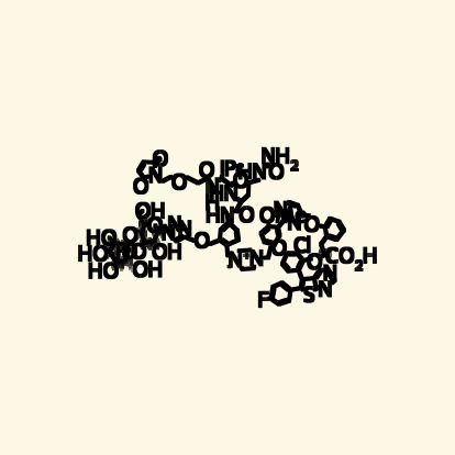 COc1ccccc1-c1nccc(COc2ccccc2C[C@@H](Oc2ncnc3sc(-c4ccc(F)cc4)c(-c4ccc(OCCN5CC[N+](C)(Cc6ccc(NC(=O)C(CCCNC(N)=O)NC(=O)C(NC(=O)CCOCCN7C(=O)C=CC7=O)C(C)C)cc6COCc6cn([C@@H]7O[C@H](CO)[C@@H](O[C@@H]8O[C@H](CO)[C@H](O)[C@H](O)[C@H]8O)[C@H](O)[C@H]7O)nn6)CC5)c(Cl)c4C)c23)C(=O)O)n1